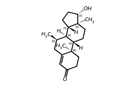 C[C@@H]1CC2=CC(=O)CC[C@]2(C)[C@H]2CC[C@]3(C)[C@@H](O)CC[C@H]3[C@H]12